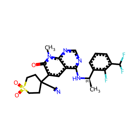 C[C@@H](Nc1ncnc2c1cc(C1(C#N)CCS(=O)(=O)CC1)c(=O)n2C)c1cccc(C(F)F)c1F